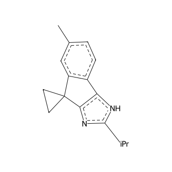 Cc1ccc2c(c1)C1(CC1)c1nc(C(C)C)[nH]c1-2